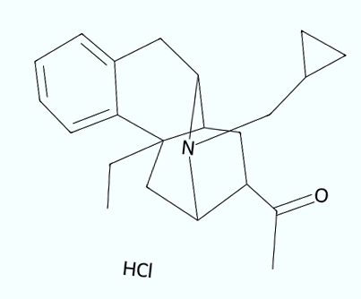 CCC12CC3C(C(C)=O)CC1C(Cc1ccccc12)N3CC1CC1.Cl